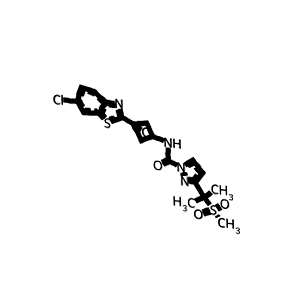 CC(C)(c1ccn(C(=O)NC23CC(c4nc5ccc(Cl)cc5s4)(C2)C3)n1)S(C)(=O)=O